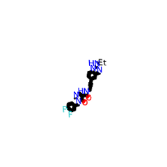 CCNc1ncc2cc(C#CCNC(=O)c3cncn(Cc4ccc(F)c(F)c4)c3=O)ccc2n1